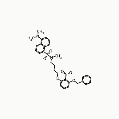 CN(C)c1cccc2c(S(=O)(=O)N(C)CCCCOc3cccc(OCc4ccccc4)c3[N+](=O)[O-])cccc12